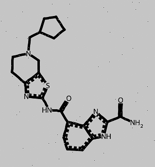 NC(=O)c1nc2c(C(=O)Nc3nc4c(s3)CN(CC3CCCC3)CC4)cccc2[nH]1